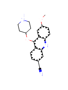 COc1ccc2nc3cc(C#N)ccc3c(OC3CCNCC3)c2c1